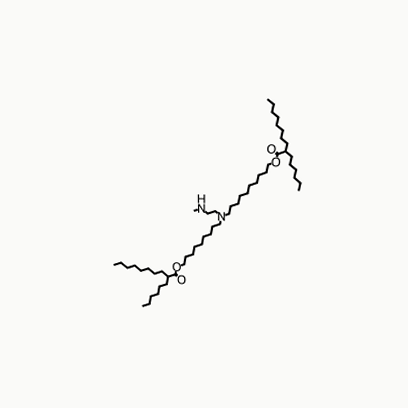 CCCCCCCCC(CCCCCC)C(=O)OCCCCCCCCCCN(CCCCCCCCCOC(=O)C(CCCCCC)CCCCCCCC)CCNC